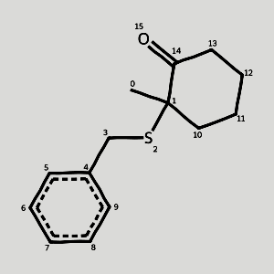 CC1(SCc2ccccc2)CCCCC1=O